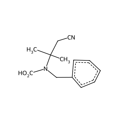 CC(C)(CC#N)N(Cc1ccccc1)C(=O)O